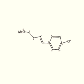 [CH2]OCCC=Cc1ccc(Cl)cc1